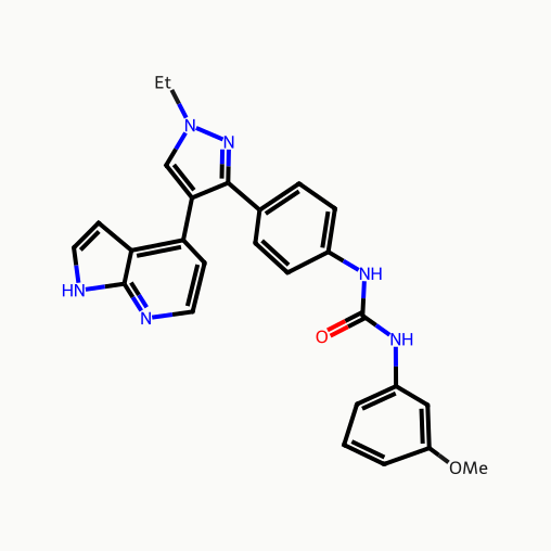 CCn1cc(-c2ccnc3[nH]ccc23)c(-c2ccc(NC(=O)Nc3cccc(OC)c3)cc2)n1